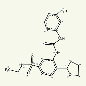 O=C(Nc1cc(C(F)(F)F)ccn1)Nc1cc(S(=O)(=O)NCC(F)(F)F)ccc1C1CCCO1